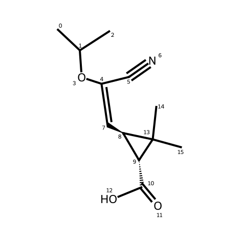 CC(C)O/C(C#N)=C/[C@@H]1[C@@H](C(=O)O)C1(C)C